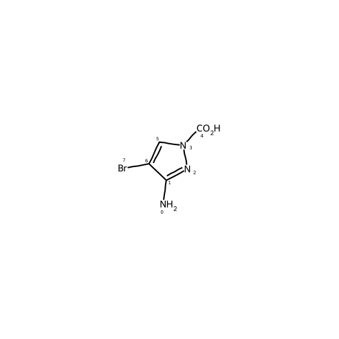 Nc1nn(C(=O)O)cc1Br